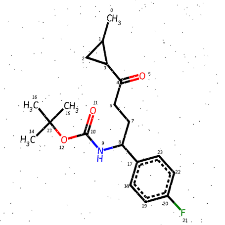 CC1CC1C(=O)CCC(NC(=O)OC(C)(C)C)c1ccc(F)cc1